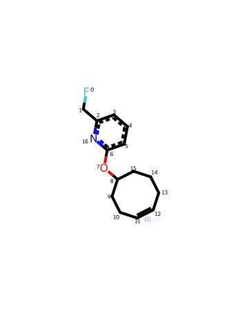 FCc1cccc(OC2CC/C=C\CCC2)n1